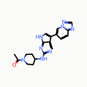 CC(=O)N1CCC(Nc2ncc3c(-c4ccc5ncnn5c4)c[nH]c3n2)CC1